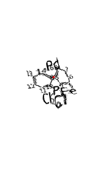 Cl[P](Cl)([Fe])(c1ccccc1)c1ccccc1.[Pd]